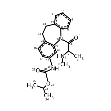 CNC(C)C(=O)N1c2ccccc2CCc2ccc(NC(=O)OC(C)C)cc21